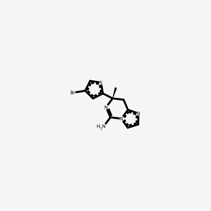 C[C@@]1(c2cc(Br)cs2)Cc2nccn2C(N)=N1